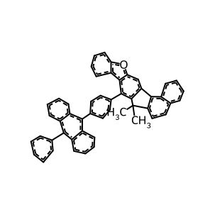 CC1(C)c2ccc3ccccc3c2-c2cc3oc4ccccc4c3c(-c3ccc(-c4c5ccccc5c(-c5ccccc5)c5ccccc45)cc3)c21